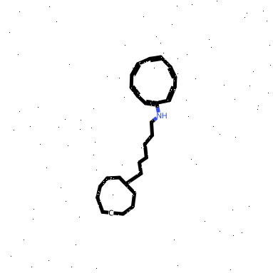 C1=C\C=C/C=C\C(NCCCCCCC2CCCCCCCCC2)=C/C=C\C=C/1